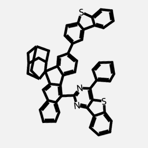 c1ccc(-c2nc(-c3c4c(cc5ccccc35)C3(c5cc(-c6ccc7sc8ccccc8c7c6)ccc5-4)C4CC5CC(C4)CC3C5)nc3c2sc2ccccc23)cc1